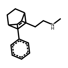 CNCCC1=C(c2ccccc2)C2CCC1CC2